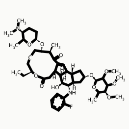 CC[C@H]1CCC[C@H](O[C@H]2CC[C@H](N(C)C)C(C)O2)[C@@H](C)C(=O)C2=C[C@H]3[C@@H]4C[C@H](O[C@@H]5OC(C)[C@H](OC)C(OC)C5OC)C[C@H]4[C@H](Nc4ccccc4F)[C@@H](O)[C@H]3[C@@H]2CC(=O)O1